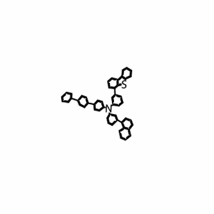 c1ccc(-c2ccc(-c3ccc(N(c4cccc(-c5cccc6ccccc56)c4)c4cccc(-c5cccc6c5sc5ccccc56)c4)cc3)cc2)cc1